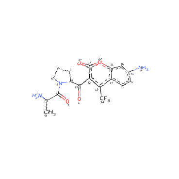 CC(N)C(=O)N1CCCC1C(=O)c1c(C(F)(F)F)c2ccc(N)cc2oc1=O